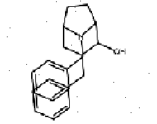 OC1C(Cc2ccccc2)CC2CCC1N2Cc1ccccc1